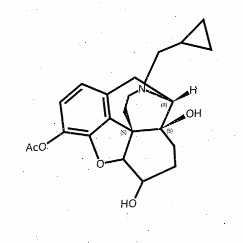 CC(=O)Oc1ccc2c3c1OC1C(O)CC[C@@]4(O)[C@@H](C2)N(CC2CC2)CC[C@]314